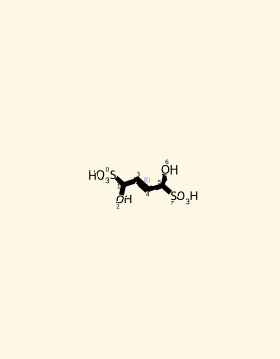 O=S(=O)(O)C(O)/C=C/C(O)S(=O)(=O)O